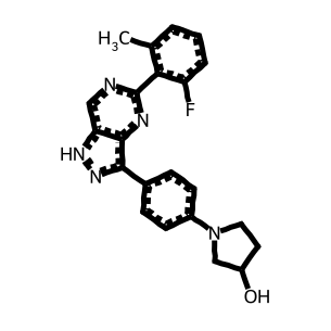 Cc1cccc(F)c1-c1ncc2[nH]nc(-c3ccc(N4CCC(O)C4)cc3)c2n1